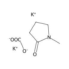 CN1CCCC1=O.O=C([O-])[O-].[K+].[K+]